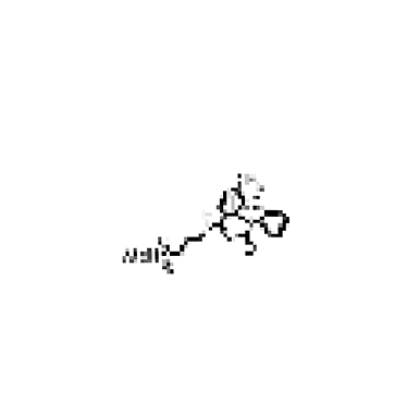 CNS(=O)(=O)CCCNc1nc(=O)n(-c2ccccc2C)c2cc(C(F)(F)F)ccc12